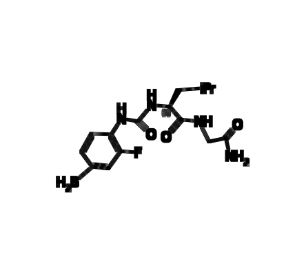 Bc1ccc(NC(=O)N[C@@H](CC(C)C)C(=O)NCC(N)=O)c(F)c1